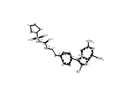 CCc1nc2c(C)nc(C)cn2c1-c1ccc(CCNC(=O)NS(=O)(=O)C2CCCC2)cc1